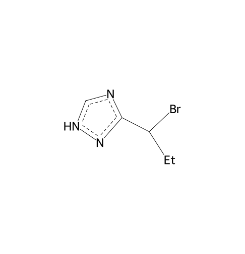 CCC(Br)c1nc[nH]n1